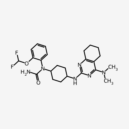 CN(C)c1nc(NC2CCC(N(C(N)=O)c3ccccc3OC(F)F)CC2)nc2c1CCCC2